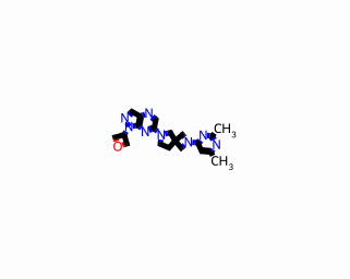 Cc1cc(N2CC3(CCN(c4cnc5cnn(C6COC6)c5n4)C3)C2)nc(C)n1